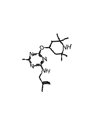 C=C(C)CNc1nc(C)nc(OC2CC(C)(C)NC(C)(C)C2)n1